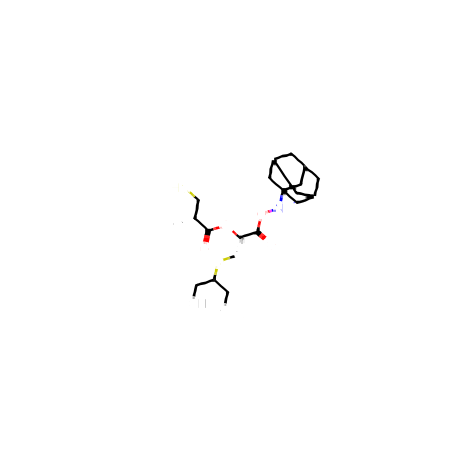 CCC(CC)SC[C@H](OC(=O)[C@H](C)CS)C(=O)ONC12CC3CC(CC(C3)C1)C2